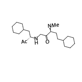 CN[C@@H](CCC1CCCCC1)C(=O)CN[C@@H](CC1CCCCC1)C(C)=O